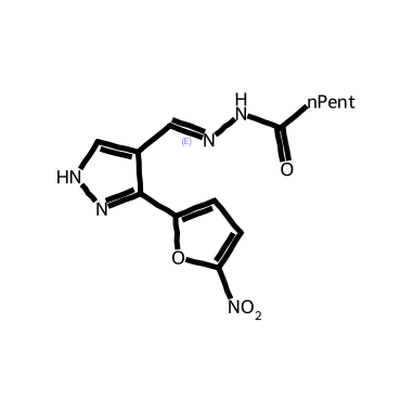 CCCCCC(=O)N/N=C/c1c[nH]nc1-c1ccc([N+](=O)[O-])o1